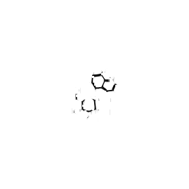 OC[C@H]1O[C@@H](O)[C@H](O)[C@@H](O)[C@@H]1O.Oc1cccc2cccnc12